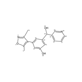 Cc1noc(C)c1-c1cc(O)cc(C(O)c2cccnc2)c1